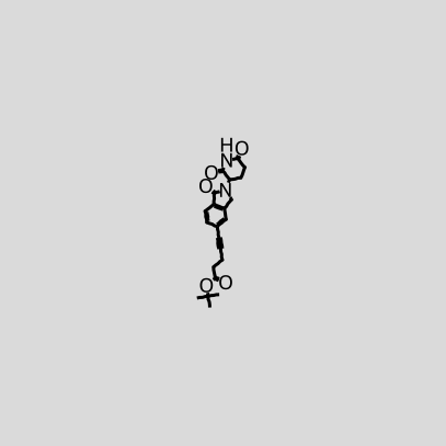 CC(C)(C)OC(=O)CCC#Cc1ccc2c(c1)CN(C1CCC(=O)NC1=O)C2=O